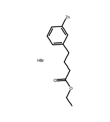 Br.CCOC(=O)CCCc1ccc[c]([Zn])c1